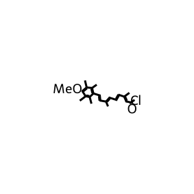 COc1c(C)c(C)c(C=CC(C)=CC=CC(C)=CC(=O)Cl)c(C)c1C